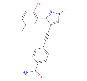 Cc1ccc(O)c(-c2nn(C)cc2C#Cc2ccc(C(N)=O)cc2)c1